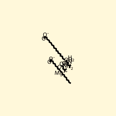 CC(C)CC(N)C(=O)O.CC(C)CC(N)C(=O)O.CCCCCCCCCCCCCCCCCC(=O)[O-].CCCCCCCCCCCCCCCCCC(=O)[O-].[Mg+2]